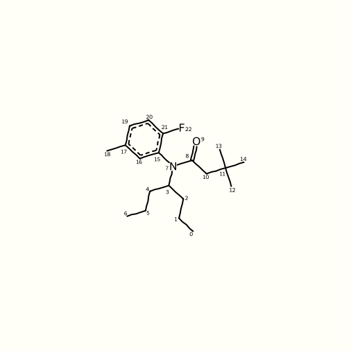 CCCC(CCC)N(C(=O)CC(C)(C)C)c1cc(C)ccc1F